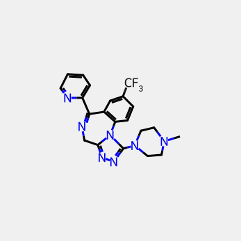 CN1CCN(c2nnc3n2-c2ccc(C(F)(F)F)cc2C(c2ccccn2)=NC3)CC1